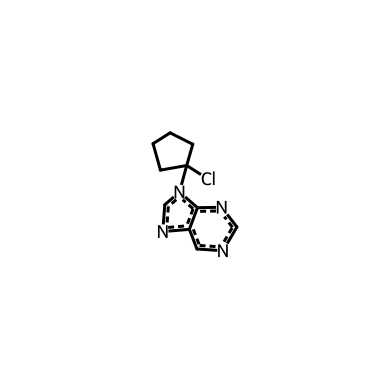 ClC1(n2cnc3cncnc32)CCCC1